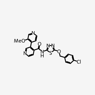 COc1cnccc1-c1cnccc1C(=O)Nc1nnc(OCc2ccc(Cl)cc2)s1